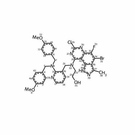 COc1ccc(CN(Cc2ccc(OC)cc2)c2ncccc2CN(CCO)c2nc(Cl)nc3c(F)c(Br)c4c(C)n[nH]c4c23)cc1